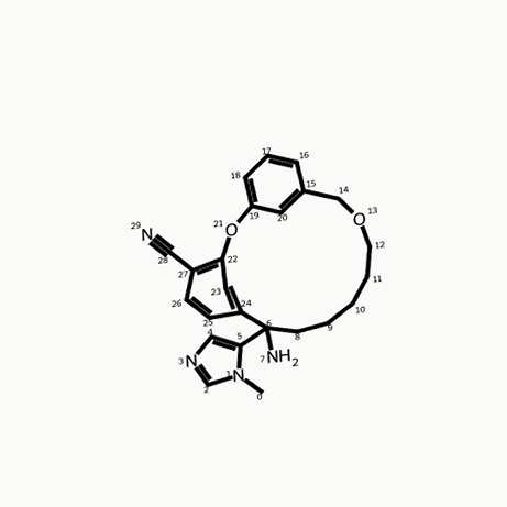 Cn1cncc1C1(N)CCCCCOCc2cccc(c2)Oc2cc1ccc2C#N